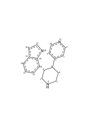 c1cc(C2CCNCC2)ccn1.c1ccc2scnc2c1